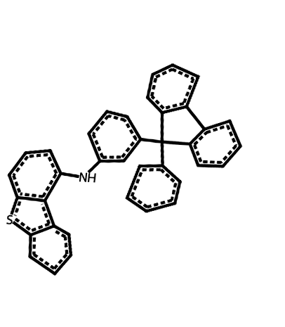 c1ccc(C2(c3cccc(Nc4cccc5sc6ccccc6c45)c3)c3ccccc3-c3ccccc32)cc1